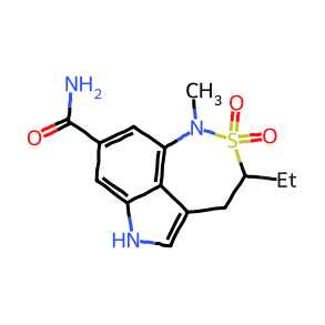 CCC1Cc2c[nH]c3cc(C(N)=O)cc(c23)N(C)S1(=O)=O